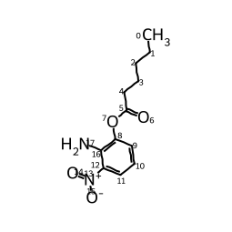 CCCCCC(=O)Oc1cccc([N+](=O)[O-])c1N